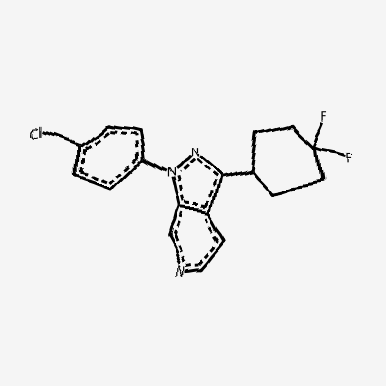 FC1(F)CCC(c2nn(-c3ccc(Cl)cc3)c3cnccc23)CC1